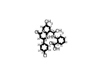 Cc1cc(C(C)Nc2ccccc2C(=O)O)c2nc(-c3ccc(Cl)cc3)cc(=O)n2c1